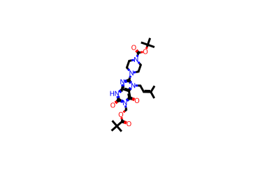 CC(C)=CCn1c(N2CCN(C(=O)OC(C)(C)C)CC2)nc2[nH]c(=O)n(COC(=O)C(C)(C)C)c(=O)c21